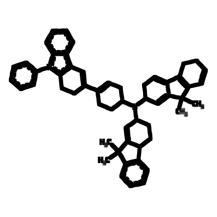 CC1(C)C2=CC(N(C3C=C4C(CC3)c3ccccc3C4(C)C)C3CC=C(C4=Cc5c(n(-c6ccccc6)c6ccccc56)CC4)CC3)CC=C2C2=C1C=CCC2